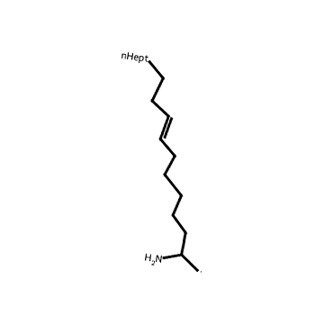 [CH2]C(N)CCCCC/C=C/CCCCCCCCC